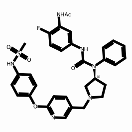 CC(=O)Nc1cc(NC(=O)N(c2ccccc2)[C@H]2CCN(Cc3ccc(Oc4ccc(NS(C)(=O)=O)cc4)nc3)C2)ccc1F